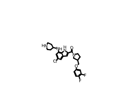 O=C(c1cc2cc(Cl)cc(NC3CCNCC3)c2[nH]1)N1CCC(COc2ccc(F)c(F)c2)C1